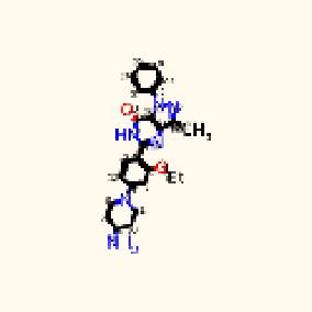 CCOc1cc(N2CCC(N)CC2)ccc1-c1nc2c(C)nn(-c3ccccc3)c2c(=O)[nH]1